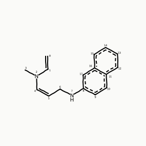 C=CN(C)/C=C\CNc1ccc2ccccc2c1